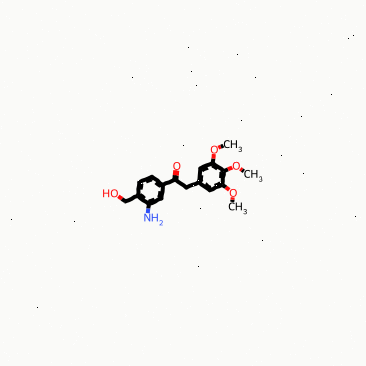 COc1cc(CC(=O)c2ccc(CO)c(N)c2)cc(OC)c1OC